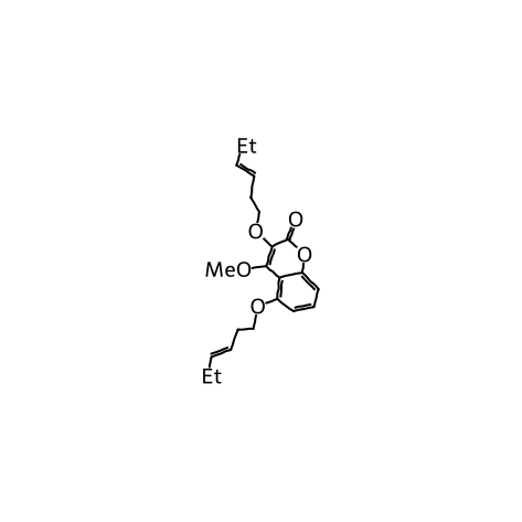 CCC=CCCOc1c(OC)c2c(OCCC=CCC)cccc2oc1=O